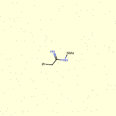 CNNC(=N)CC(C)C